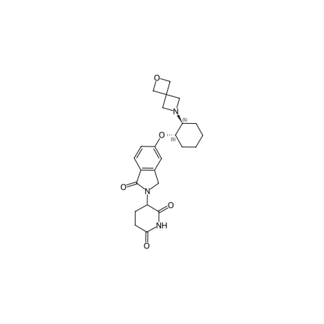 O=C1CCC(N2Cc3cc(O[C@H]4CCCC[C@@H]4N4CC5(COC5)C4)ccc3C2=O)C(=O)N1